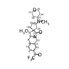 CC1C2Cc3ccc(C(=O)C(F)(F)F)cc3CN2C(=O)[C@]12CC[C@@H](N(C)C1CCOCC1)C2